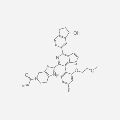 C=CC(=O)N1CCc2nc(-c3nc(-c4ccc5c(c4)[C@@H](O)CC5)c4ccsc4c3-c3c(F)cc(F)cc3OCCOC)sc2C1